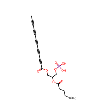 CC#CC#CC#CC#CC#CC(=O)OC[C@@H](COP(=O)(O)O)OC(=O)CCCCCCCCCCCCC